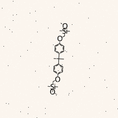 CO[Si](C)(C)COc1ccc(C(C)(C)c2ccc(OC[Si](C)(C)OC)cc2)cc1